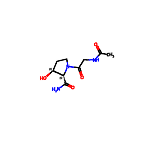 CC(=O)NCC(=O)N1CC[C@H](O)[C@H]1C(N)=O